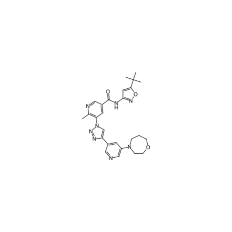 Cc1ncc(C(=O)Nc2cc(C(C)(C)C)on2)cc1-n1cc(-c2cncc(N3CCCOCC3)c2)nn1